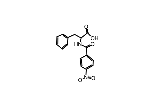 O=C(NC(Cc1ccccc1)C(=O)O)c1ccc([N+](=O)[O-])cc1